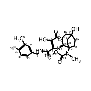 Cc1cc(CNC(=O)c2nc3n(c(=O)c2O)CC2(O)CCC3(N(C)C(=O)OC(C)(C)C)CC2)ccc1F